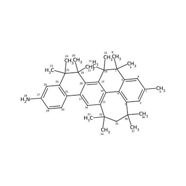 Cc1cc2c3c(c1)C(C)(C)C(C)(C)c1c-3c(cc3c1C(C)(C)C(C)(C)c1cc(N)ccc1-3)C(C)(C)CC2(C)C